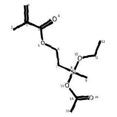 C=C(C)C(=O)OCC[Si](C)(OCC)OC(C)=O